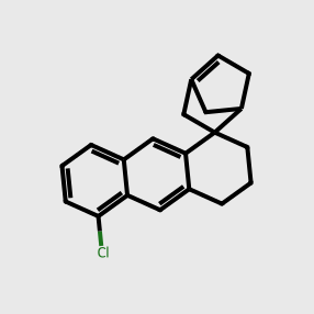 Clc1cccc2cc3c(cc12)CCCC31CC2=CCC1C2